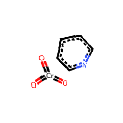 [O]=[Cr](=[O])=[O].c1ccncc1